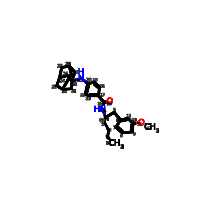 CCCC[C@@H](Cc1cccc(OC)c1)NC(=O)c1ccc(NC23CC4CC(CC(C4)C2)C3)cc1